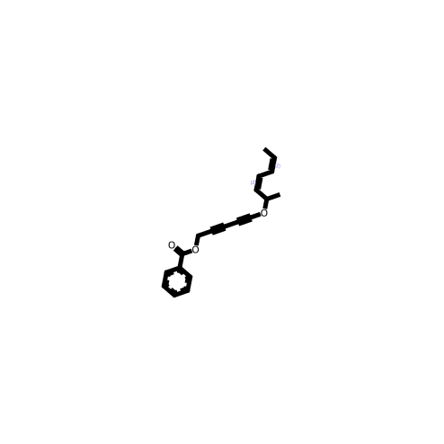 C/C=C\C=C/C(C)OC#CC#CCOC(=O)c1ccccc1